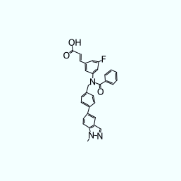 Cn1ncc2cc(-c3ccc(CN(C(=O)c4ccccc4)c4cc(F)cc(C=CC(=O)O)c4)cc3)ccc21